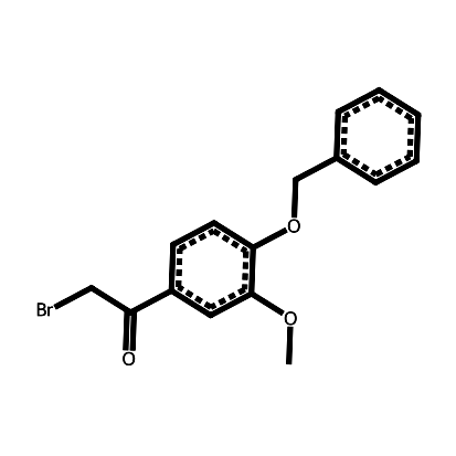 COc1cc(C(=O)CBr)ccc1OCc1ccccc1